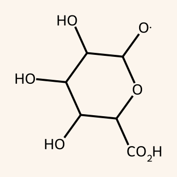 [O]C1OC(C(=O)O)C(O)C(O)C1O